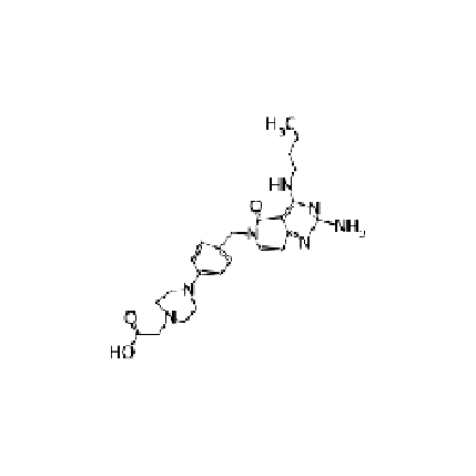 CCCCNc1nc(N)nc2ccn(Cc3ccc(N4CCN(CC(=O)O)CC4)cc3)c(=O)c12